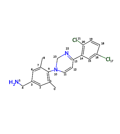 Cc1cc(CN)cc(C)c1N1C=CC(c2cc(Cl)ccc2Cl)=NC1